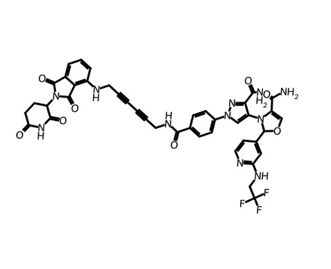 NC(=O)C1=COC(c2ccnc(NCC(F)(F)F)c2)N1c1cn(-c2ccc(C(=O)NCC#CC#CCNc3cccc4c3C(=O)N(C3CCC(=O)NC3=O)C4=O)cc2)nc1C(N)=O